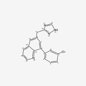 Clc1cccc(-c2cc(Cc3nc[nH]n3)cc3cccnc23)c1